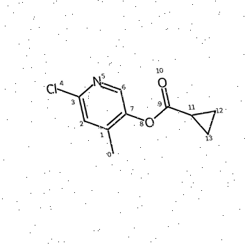 Cc1cc(Cl)ncc1OC(=O)C1CC1